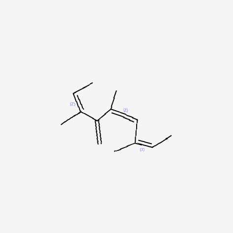 C=C(/C(C)=C\C)/C(C)=C\C(C)=C/C